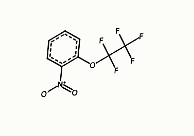 O=[N+]([O-])c1ccccc1OC(F)(F)C(F)(F)F